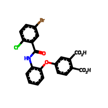 O=C(Nc1ccccc1Oc1ccc(C(=O)O)c(C(=O)O)c1)c1cc(Br)ccc1Cl